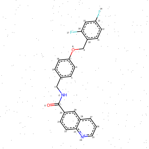 O=C(NCc1ccc(OCc2ccc(F)cc2F)cc1)c1ccc2ncccc2c1